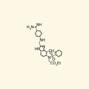 CCOC(=O)CN(c1ccc2[nH]c(CNc3ccc(C(=N)N)cc3)nc2c1C)S(=O)(=O)c1ccccc1